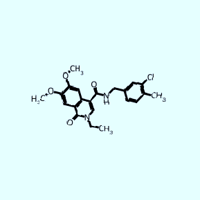 CCn1cc(C(=O)NCc2ccc(C)c(Cl)c2)c2cc(OC)c(OC)cc2c1=O